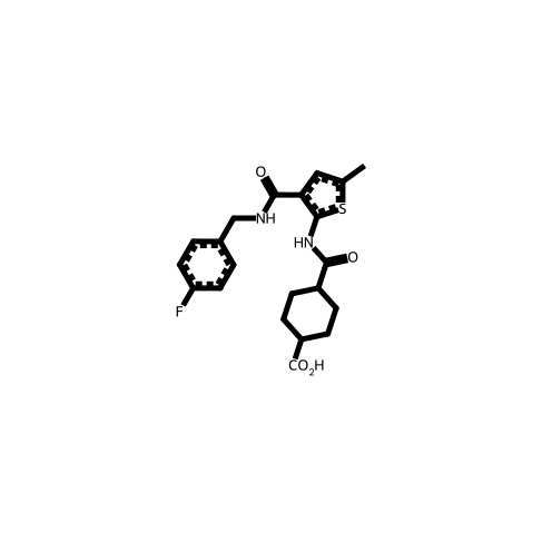 Cc1cc(C(=O)NCc2ccc(F)cc2)c(NC(=O)C2CCC(C(=O)O)CC2)s1